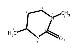 CC1CCN(C)C(=O)S1